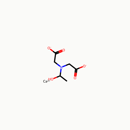 CC(O)N(CC(=O)[O-])CC(=O)[O-].[Ca+2]